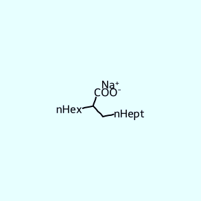 CCCCCCCCC(CCCCCC)C(=O)[O-].[Na+]